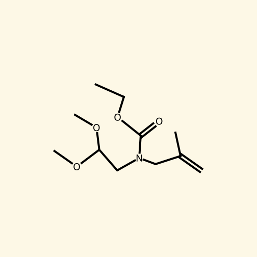 C=C(C)CN(CC(OC)OC)C(=O)OCC